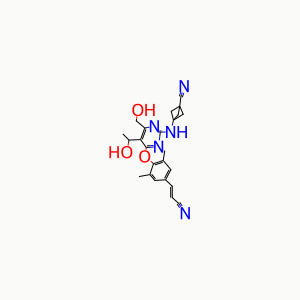 Cc1cc(/C=C/C#N)cc(C)c1Oc1nc(NC23CC(C#N)(C2)C3)nc(CO)c1C(C)O